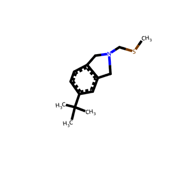 CSCN1Cc2ccc(C(C)(C)C)cc2C1